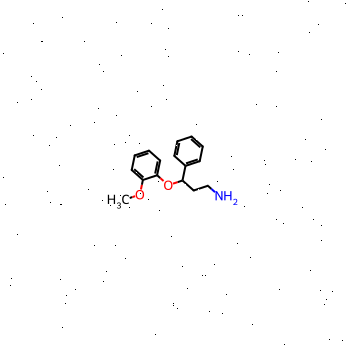 COc1ccccc1OC(CCN)c1ccccc1